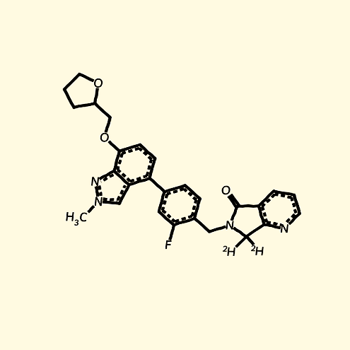 [2H]C1([2H])c2ncccc2C(=O)N1Cc1ccc(-c2ccc(OCC3CCCO3)c3nn(C)cc23)cc1F